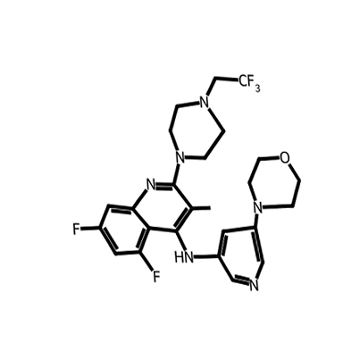 Cc1c(N2CCN(CC(F)(F)F)CC2)nc2cc(F)cc(F)c2c1Nc1cncc(N2CCOCC2)c1